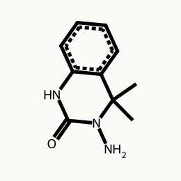 CC1(C)c2ccccc2NC(=O)N1N